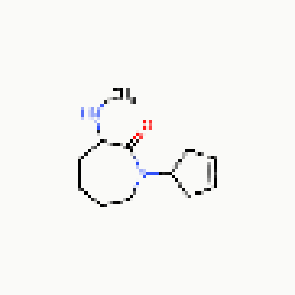 CNC1CCCCN(C2CC=CC2)C1=O